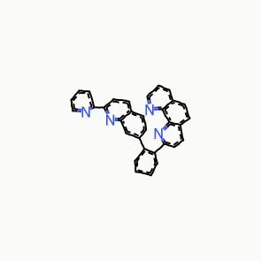 c1ccc(-c2ccc3ccc(-c4ccccc4-c4ccc5ccc6cccnc6c5n4)cc3n2)nc1